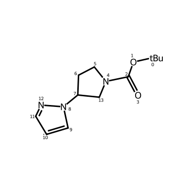 CC(C)(C)OC(=O)N1CCC(n2c[c]cn2)C1